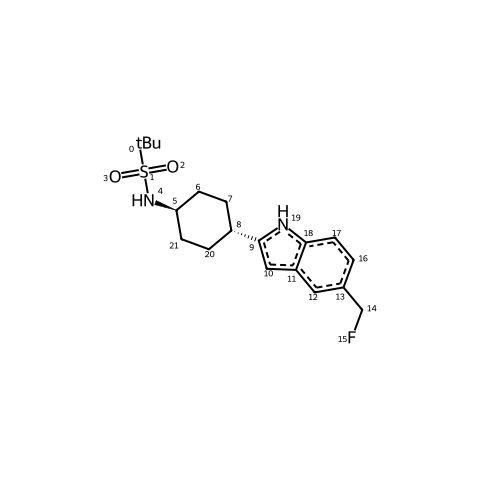 CC(C)(C)S(=O)(=O)N[C@H]1CC[C@H](c2cc3cc(CF)ccc3[nH]2)CC1